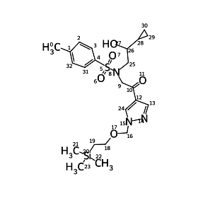 Cc1ccc(S(=O)(=O)N(CC(=O)c2cnn(COCC[Si](C)(C)C)c2)CC(O)C2CC2)cc1